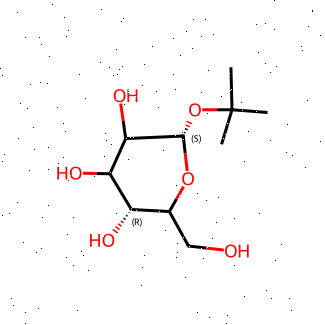 CC(C)(C)O[C@@H]1OC(CO)[C@H](O)C(O)C1O